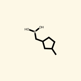 CC1CCC(CB(O)O)C1